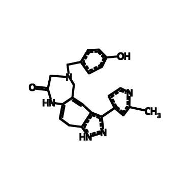 Cc1cc(-c2n[nH]c3c2C=C2CN(Cc4ccc(O)cc4)CC(=O)NC2=CC3)ccn1